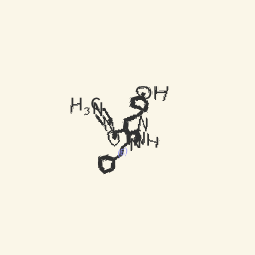 CN1CCN(C(=O)c2cc(-c3ccc(O)cc3)nc3[nH]nc(/C=C/c4ccccc4)c23)CC1